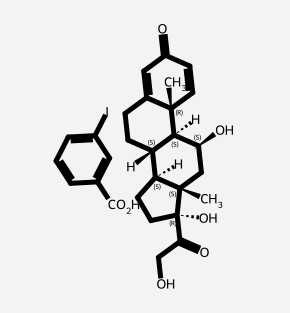 C[C@]12C=CC(=O)C=C1CC[C@@H]1[C@@H]2[C@@H](O)C[C@@]2(C)[C@H]1CC[C@]2(O)C(=O)CO.O=C(O)c1cccc(I)c1